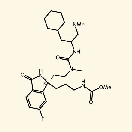 CNCC(CC1CCCCC1)NC(=O)N(C)CC[C@@]1(CCCNC(=O)OC)NC(=O)c2ccc(F)cc21